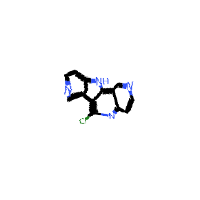 Clc1nc2ccncc2c2[nH]c3ccncc3c12